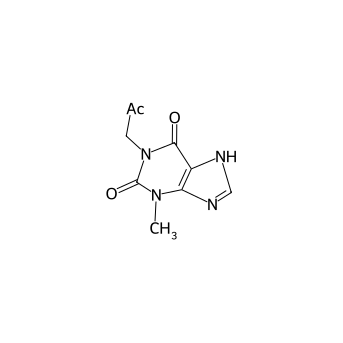 CC(=O)Cn1c(=O)c2[nH]cnc2n(C)c1=O